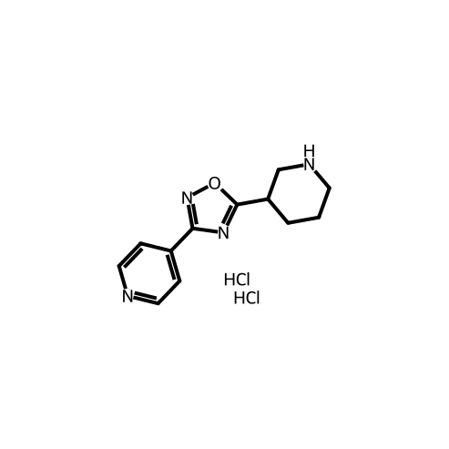 Cl.Cl.c1cc(-c2noc(C3CCCNC3)n2)ccn1